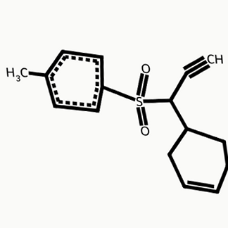 C#CC(C1CC=CCC1)S(=O)(=O)c1ccc(C)cc1